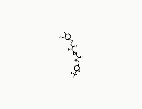 O=C(COc1ccc(Cl)c(Cl)c1)NC12CC(C(=O)NCc3ccc(C(F)(F)F)nc3)(C1)C2